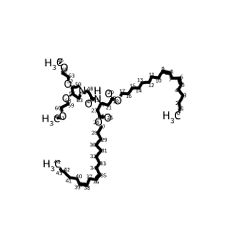 CCCCC/C=C\C/C=C\CCCCCCCCOC(=O)CC(CC(=O)OCCCCCCCC/C=C\C/C=C\CCCCC)NC(=O)CN1C[C@H](OCCOC)[C@H](OCCOC)C1